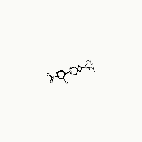 CN(C)C1CC2(CCN(c3ccc([N+](=O)[O-])cc3Cl)CC2)C1